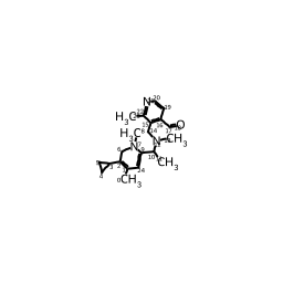 CC1=C(C2CC2)CN(C)C(C(C)N(C)Cc2c(C=O)ccnc2C)=C1